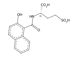 O=C(N[C@@H](CCS(=O)(=O)O)C(=O)O)c1c(O)ccc2ccccc12